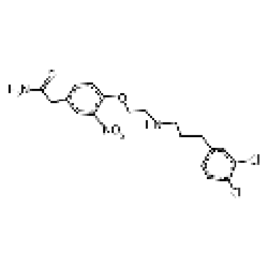 NC(=O)Cc1ccc(OCCNCCCc2ccc(Cl)c(Cl)c2)c([N+](=O)[O-])c1